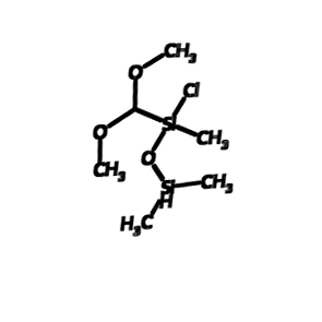 COC(OC)[Si](C)(Cl)O[SiH](C)C